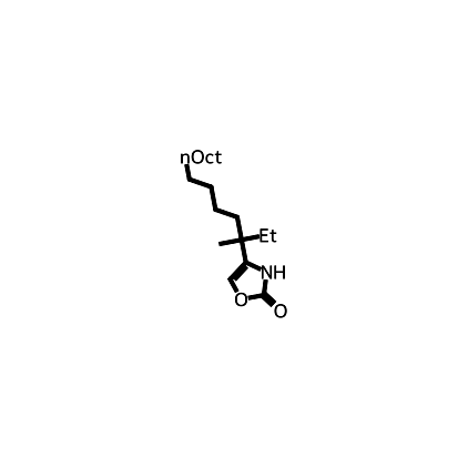 CCCCCCCCCCCCC(C)(CC)c1coc(=O)[nH]1